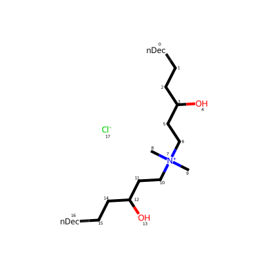 CCCCCCCCCCCCC(O)CC[N+](C)(C)CCC(O)CCCCCCCCCCCC.[Cl-]